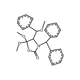 COC(c1ccccc1)C1N(C(c2ccccc2)c2ccccc2)C(=O)OC1(OC)OC